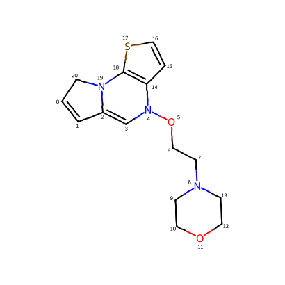 C1=CC2=CN(OCCN3CCOCC3)c3ccsc3N2C1